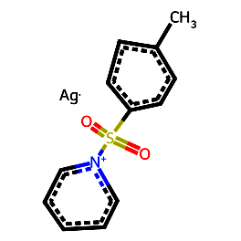 Cc1ccc(S(=O)(=O)[n+]2ccccc2)cc1.[Ag]